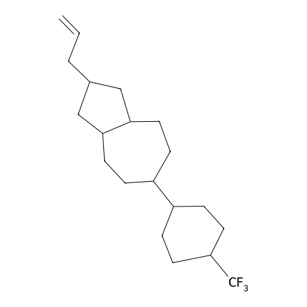 C=CCC1CC2CCC(C3CCC(C(F)(F)F)CC3)CCC2C1